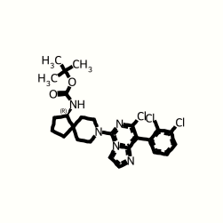 CC(C)(C)OC(=O)N[C@@H]1CCCC12CCN(c1nc(Cl)c(-c3cccc(Cl)c3Cl)c3nccn13)CC2